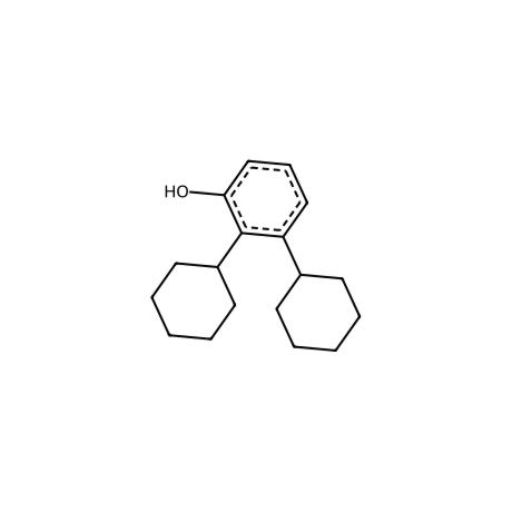 Oc1cccc(C2CCCCC2)c1C1CCCCC1